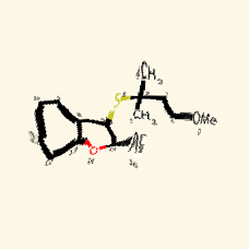 COCCC(C)(C)SC1c2ccccc2OC1C(C)=O